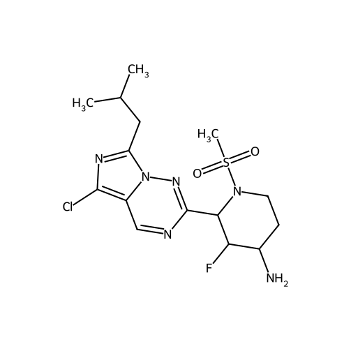 CC(C)Cc1nc(Cl)c2cnc(C3C(F)C(N)CCN3S(C)(=O)=O)nn12